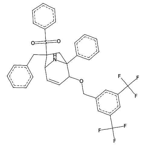 O=S(=O)(c1ccccc1)C1(Cc2ccccc2)CC2(c3ccccc3)NC1C=CC2OCc1cc(C(F)(F)F)cc(C(F)(F)F)c1